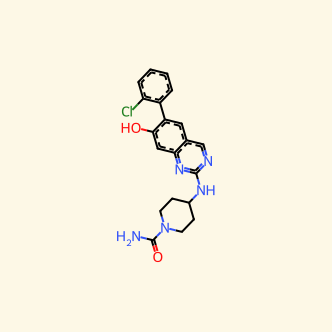 NC(=O)N1CCC(Nc2ncc3cc(-c4ccccc4Cl)c(O)cc3n2)CC1